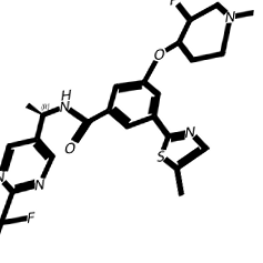 Cc1cnc(-c2cc(OC3CCN(C)CC3F)cc(C(=O)N[C@H](C)c3cnc(C(F)(F)F)nc3)c2)s1